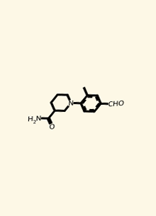 Cc1cc(C=O)ccc1N1CCCC(C(N)=O)C1